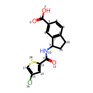 O=C(O)c1ccc2c(c1)C(NC(=O)c1cc(Cl)cs1)CC2